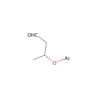 CC(=O)OC(C)CC=O